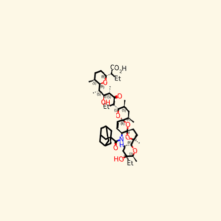 CCC(C(=O)[C@@H](C)[C@@H](O)[C@H](C)[C@@H]1O[C@@H](C(CC)C(=O)O)CC[C@@H]1C)[C@H]1O[C@]2(C=CC(NC(=O)C34CC5CC(CC(C5)C3)C4)[C@]3(CC[C@@](C)([C@H]4CC[C@](O)(CC)[C@H](C)O4)O3)O2)[C@H](C)C[C@@H]1C